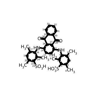 Cc1cc(C)c(S(=O)(=O)O)c(C)c1Nc1ccc(Nc2c(C)cc(C)c(S(=O)(=O)O)c2C)c2c1C(=O)c1ccccc1C2=O